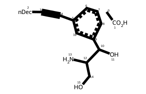 CC(=O)O.CCCCCCCCCCC#Cc1cccc(C(O)C(N)CO)c1